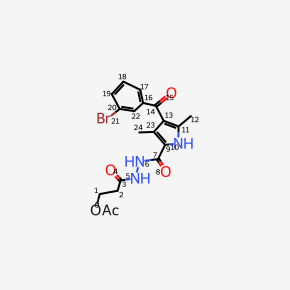 CC(=O)OCCC(=O)NNC(=O)c1[nH]c(C)c(C(=O)c2cccc(Br)c2)c1C